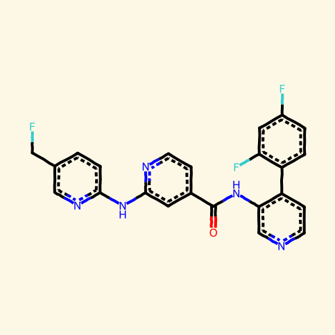 O=C(Nc1cnccc1-c1ccc(F)cc1F)c1ccnc(Nc2ccc(CF)cn2)c1